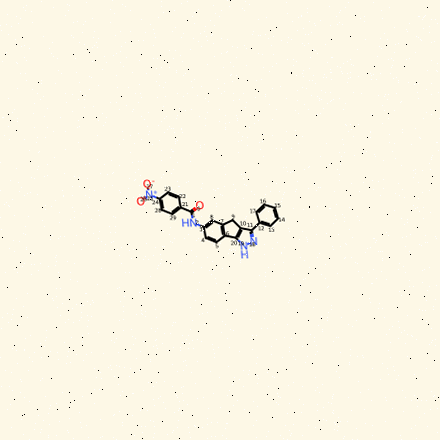 O=C(Nc1ccc2c(c1)Cc1c(-c3ccccc3)n[nH]c1-2)c1ccc([N+](=O)[O-])cc1